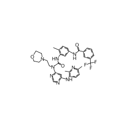 Cc1ccc(Nc2cc(N(CCN3CCOCC3)C(=O)Nc3cc(NC(=O)c4cccc(C(F)(F)F)c4)ccc3C)ncn2)c(C)n1